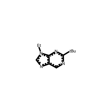 CCn1cnc2cnc(C(C)(C)C)nc21